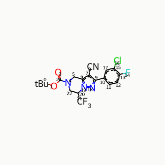 CC(C)(C)OC(=O)N1Cc2c(C#N)c(-c3ccc(F)c(Cl)c3)nn2C(C(F)(F)F)C1